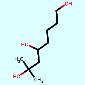 CC(C)(O)CC(O)CCCCO